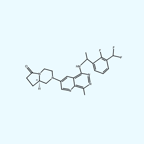 Cc1nnc(NC(C)c2cccc(C(F)F)c2F)c2cc(N3CCN4C(=O)CC[C@@H]4C3)cnc12